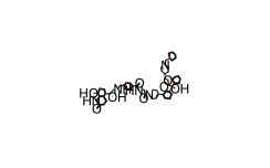 O=C(NCC(=O)N1CC=C(c2cccc(C(O)(C(=O)OCC3CCN(Cc4ccccc4)CC3)c3ccccc3)c2)CC1)c1ccc(CNC[C@H](O)c2ccc(O)c3[nH]c(=O)ccc23)cc1